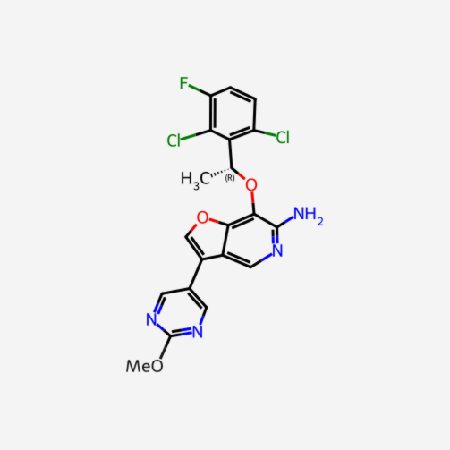 COc1ncc(-c2coc3c(O[C@H](C)c4c(Cl)ccc(F)c4Cl)c(N)ncc23)cn1